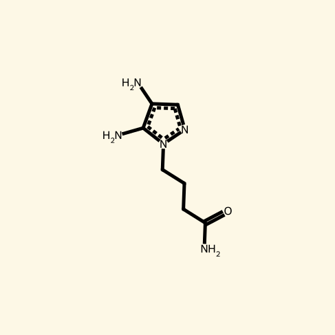 NC(=O)CCCn1ncc(N)c1N